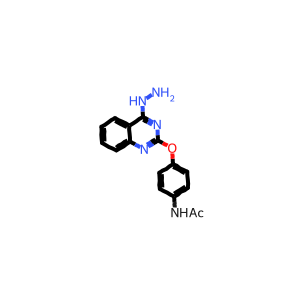 CC(=O)Nc1ccc(Oc2nc(NN)c3ccccc3n2)cc1